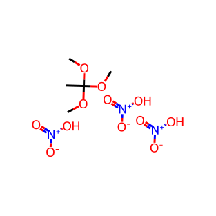 COC(C)(OC)OC.O=[N+]([O-])O.O=[N+]([O-])O.O=[N+]([O-])O